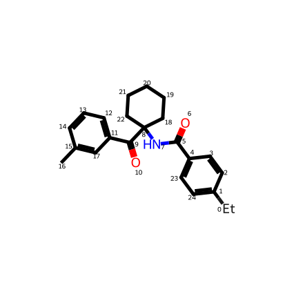 CCc1ccc(C(=O)NC2(C(=O)c3cccc(C)c3)CCCCC2)cc1